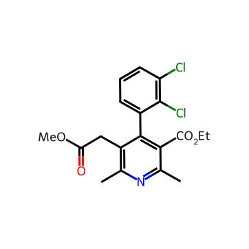 CCOC(=O)c1c(C)nc(C)c(CC(=O)OC)c1-c1cccc(Cl)c1Cl